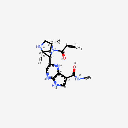 C=CC(=O)N1C(c2cnc3[nH]cc(C(=O)NC(C)C)c3n2)[C@@H]2C[C@H]1CN2